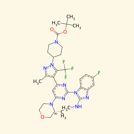 CNc1nc2cc(F)ccc2n1-c1nc(-c2c(C)nn(C3CCN(C(=O)OC(C)(C)C)CC3)c2C(F)(F)F)cc(N2CCOC[C@H]2C)n1